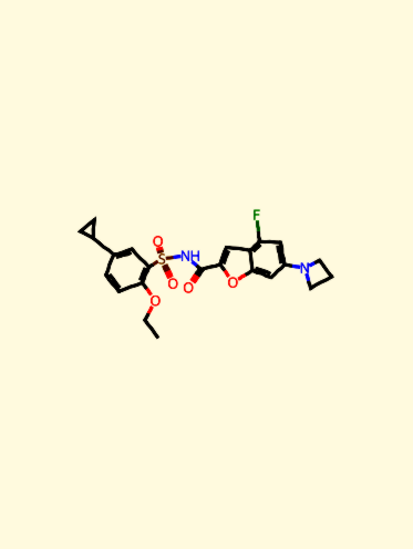 CCOc1ccc(C2CC2)cc1S(=O)(=O)NC(=O)c1cc2c(F)cc(N3CCC3)cc2o1